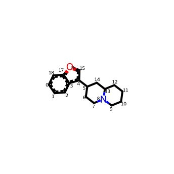 c1ccc2c(C3CCN4CCCCC4C3)coc2c1